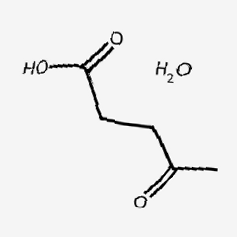 CC(=O)CCC(=O)O.O